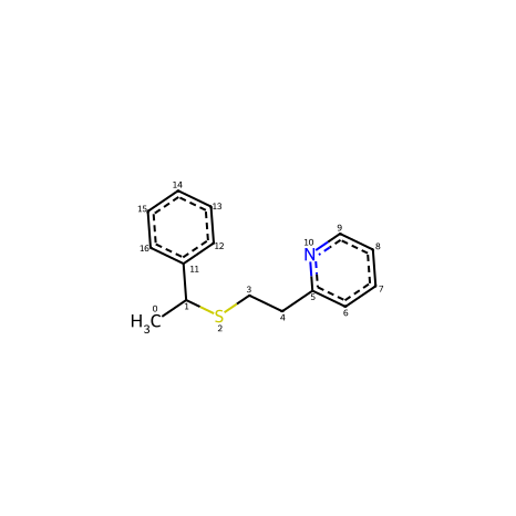 CC(SCCc1ccccn1)c1ccccc1